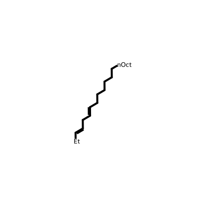 CCC=CCC=CCCCCCCCCCCCCCC